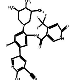 CC1CN(c2cc(F)c(-c3cnc(O)c(C#N)c3)cc2NC(=O)c2c[nH]c(=O)cc2C(F)(F)F)CC(C)N1C